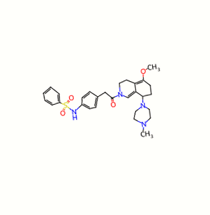 COC1=C2CCN(C(=O)Cc3ccc(NS(=O)(=O)c4ccccc4)cc3)C=C2C(N2CCN(C)CC2)CC1